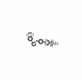 CNS(=O)(=O)c1cnc(-c2ccc(CN3CCC[C@H]3c3ccc4c(c3)OCCO4)cc2)nc1